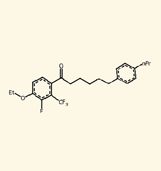 CCCc1ccc(CCCCCC(=O)c2ccc(OCC)c(F)c2C(F)(F)F)cc1